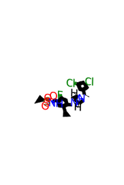 C[C@@H](c1cc(Cl)cc(Cl)c1)N1C[C@@H]2C[C@H]1CN2Cc1cc(F)c(C(=O)NS(=O)(=O)C2CC2)cc1C1CC1